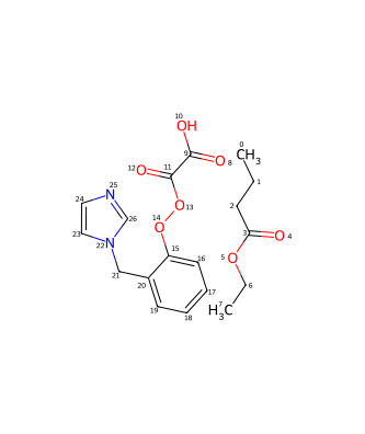 CCCC(=O)OCC.O=C(O)C(=O)OOc1ccccc1Cn1ccnc1